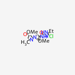 CCc1[nH]c(C(=O)N[C@@H]2CCN(c3cc(C(=O)OC)cc(C)n3)C[C@@H]2OC)nc1Cl